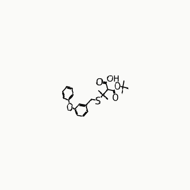 CC(C)(C)OC(=O)C(C(=O)O)C(C)(C)SCc1cccc(Oc2ccccc2)c1